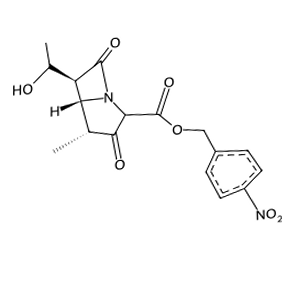 CC(O)[C@H]1C(=O)N2C(C(=O)OCc3ccc([N+](=O)[O-])cc3)C(=O)[C@H](C)[C@H]12